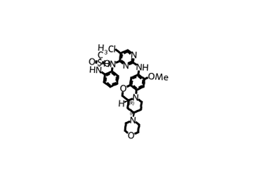 COc1cc2c(cc1Nc1ncc(Cl)c(Nc3ccccc3NS(C)(=O)=O)n1)OC[C@H]1C[C@H](N3CCOCC3)CCN21